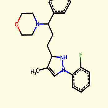 CC1=CN(c2ccccc2F)NC1CCC(c1ccccc1)N1CCOCC1